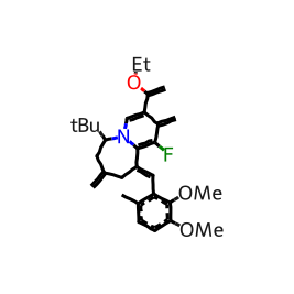 C=C1C/C(=C\c2c(C)ccc(OC)c2OC)C2=C(F)C(=C)C(C(=C)OCC)=CN2C(C(C)(C)C)C1